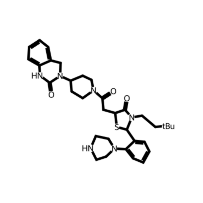 CC(C)(C)CCN1C(=O)C(CC(=O)N2CCC(N3Cc4ccccc4NC3=O)CC2)SC1c1ccccc1N1CCNCC1